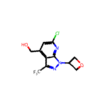 OCc1cc(Cl)nc2c1c(C(F)(F)F)nn2C1COC1